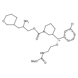 COC(=O)NCCO[C@@H](c1cccc(Cl)c1)C1CCCN(C(=O)OCC(N)CC2CCCOC2)C1